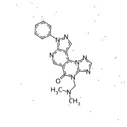 CN(C)Cn1c(=O)c2cnc3c(cnn3-c3ccccc3)c2n2ncnc12